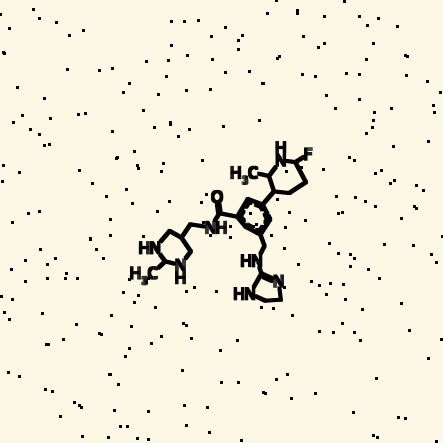 CC1NCC(CNC(=O)c2cc(CNC3=NCCN3)cc(C3CCC(F)NC3C)c2)CN1